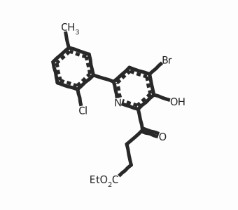 CCOC(=O)CCC(=O)c1nc(-c2cc(C)ccc2Cl)cc(Br)c1O